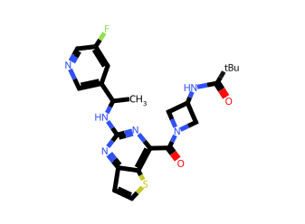 CC(Nc1nc(C(=O)N2CC(NC(=O)C(C)(C)C)C2)c2sccc2n1)c1cncc(F)c1